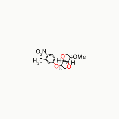 CO[C@@H]1CO[C@H]2[C@@H]1OC[C@H]2Oc1ccc([N+](=O)[O-])c(C)c1